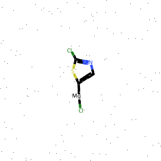 [Cl][Mg][c]1cnc(Cl)s1